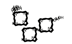 C1=Cc2cc3ccc(cc4nc(cc5ccc(cc1n2)[nH]5)C=C4)[nH]3.C1=Cc2cc3ccc(cc4nc(cc5ccc(cc1n2)[nH]5)C=C4)[nH]3.C1=Cc2cc3ccc(cc4nc(cc5ccc(cc1n2)[nH]5)C=C4)[nH]3.[Al+3].[O]=[Co-][OH].[O]=[Co-][OH].[O]=[Co-][OH]